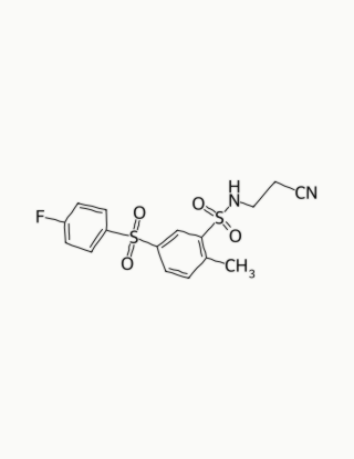 Cc1ccc(S(=O)(=O)c2ccc(F)cc2)cc1S(=O)(=O)NCCC#N